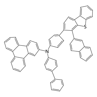 c1ccc(-c2ccc(N(c3ccc(-c4ccc5c(sc6ccccc65)c4-c4ccc5ccccc5c4)cc3)c3ccc4c5ccccc5c5ccccc5c4c3)cc2)cc1